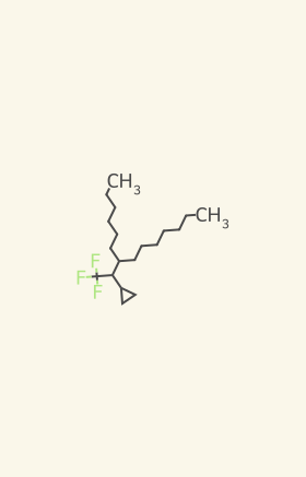 CCCCCCCC(CCCCCC)C(C1CC1)C(F)(F)F